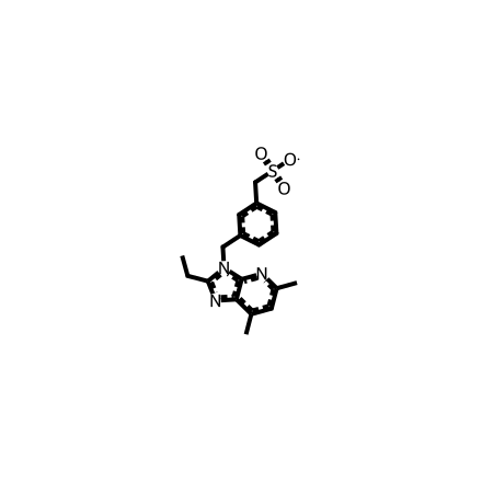 CCc1nc2c(C)cc(C)nc2n1Cc1cccc(CS([O])(=O)=O)c1